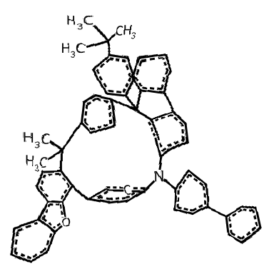 CC(C)(C)c1ccc(C23c4ccc(cc4)C(C)(C)c4ccc5c(oc6ccccc65)c4-c4ccc(cc4)N(c4ccc(-c5ccccc5)cc4)c4ccc(c2c4)-c2ccccc23)cc1